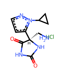 Cl.NC[C@]1(c2ccnn2C2CC2)NC(=O)NC1=O